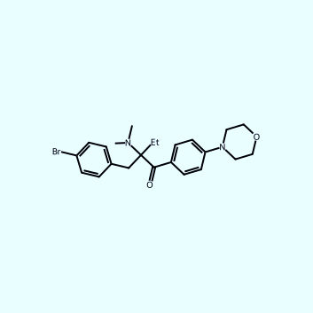 CCC(Cc1ccc(Br)cc1)(C(=O)c1ccc(N2CCOCC2)cc1)N(C)C